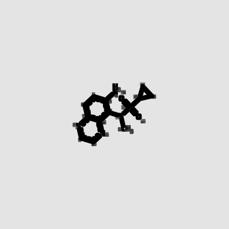 CN(c1c(N)ccc2nccnc12)S(=O)(=O)C1CC1